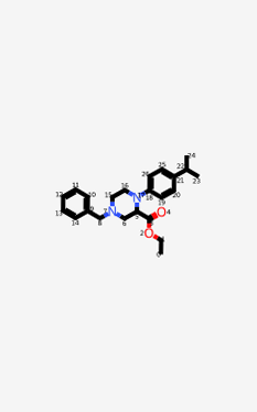 CCOC(=O)C1CN(Cc2ccccc2)CCN1c1ccc(C(C)C)cc1